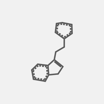 C1=C(CCc2ccccc2)c2ccccc2C1